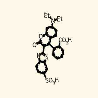 CCN(CC)c1ccc2c(-c3ccccc3C(=O)O)c(-c3nc4ccc(S(=O)(=O)O)cc4s3)c(=O)oc2c1